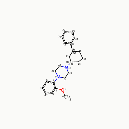 COc1ccccc1N1CCN([C@H]2CCC[C@H](c3ccccc3)C2)CC1